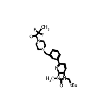 Cn1c(=O)n(CC(C)(C)C)c2ccc(-c3cccc(CN4CCN(C(=O)C(C)(F)F)CC4)c3)nc21